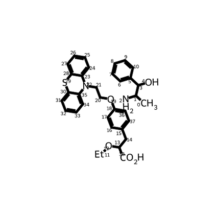 CC(N)C(O)c1ccccc1.CCOC(Cc1ccc(OCCN2c3ccccc3Sc3ccccc32)cc1)C(=O)O